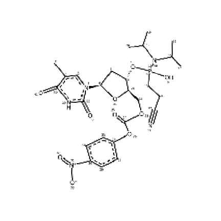 Cc1cn([C@H]2C[C@H](O[PH](O)(CCC#N)N(C(C)C)C(C)C)[C@@H](COC(=O)Oc3ccc([N+](=O)[O-])cc3)O2)c(=O)[nH]c1=O